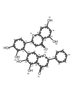 O=c1cc(-c2ccc(O)c(O)c2-c2cc3oc(-c4ccccc4)cc(=O)c3c(O)c2O)oc2cc(O)cc(O)c12